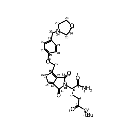 CC(C)(C)OC(=O)CC[C@@H](C(N)=O)N1C(=O)c2csc(COc3ccc(CN4CCOCC4)cc3)c2C1=O